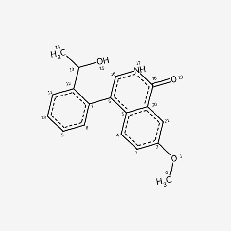 COc1ccc2c(-c3ccccc3C(C)O)c[nH]c(=O)c2c1